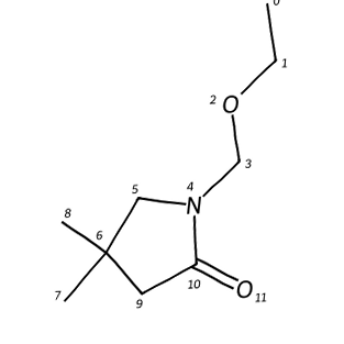 CCOCN1CC(C)(C)CC1=O